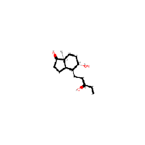 CCC(=O)CC[C@H]1C2CCC(=O)[C@@]2(C)CC[C@@H]1O